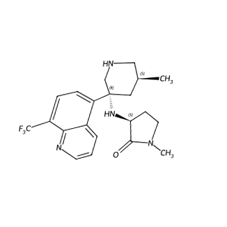 C[C@@H]1CNC[C@](N[C@H]2CCN(C)C2=O)(c2ccc(C(F)(F)F)c3ncccc23)C1